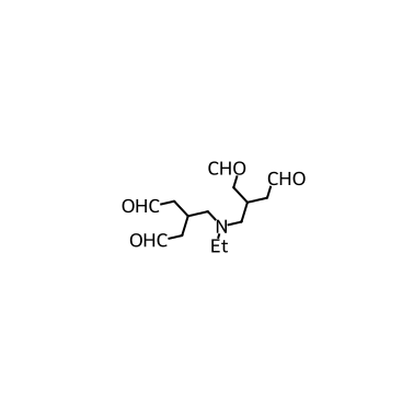 CCN(CC(CC=O)CC=O)CC(CC=O)CC=O